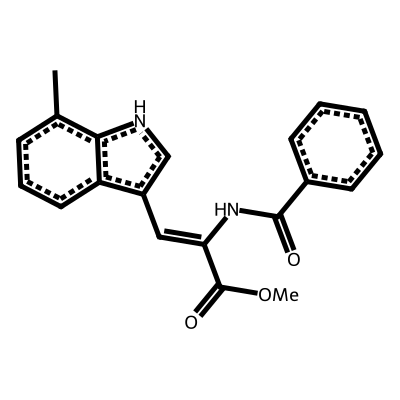 COC(=O)C(=Cc1c[nH]c2c(C)cccc12)NC(=O)c1ccccc1